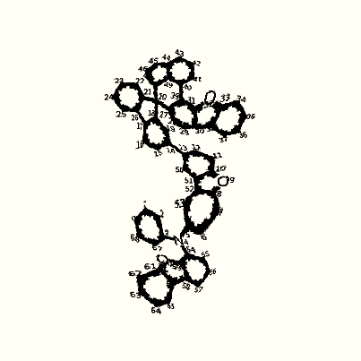 c1ccc(N(c2ccc3oc4ccc(-c5ccc6c(c5)C5(c7ccccc7-6)c6ccc7c(oc8ccccc87)c6-c6cccc7cccc5c67)cc4c3c2)c2cccc3c2oc2ccccc23)cc1